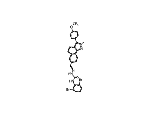 Cn1nc2c(ccc3cc(/C=N/NC(=S)Nc4c(Br)cccc4Br)ccc32)c1-c1ccc(OC(F)(F)F)cc1